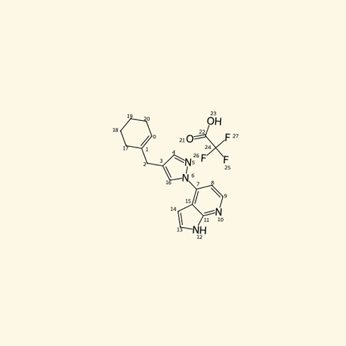 C1=C(Cc2cnn(-c3ccnc4[nH]ccc34)c2)CCCC1.O=C(O)C(F)(F)F